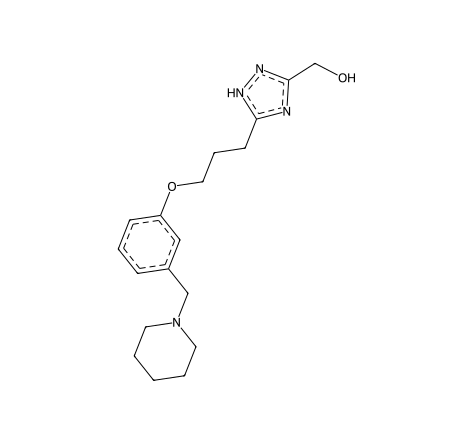 OCc1n[nH]c(CCCOc2cccc(CN3CCCCC3)c2)n1